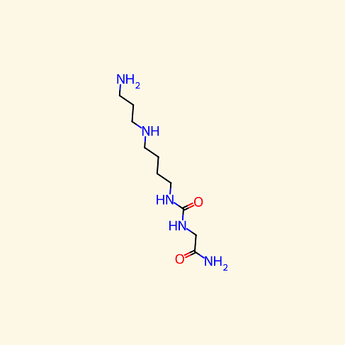 NCCCNCCCCNC(=O)NCC(N)=O